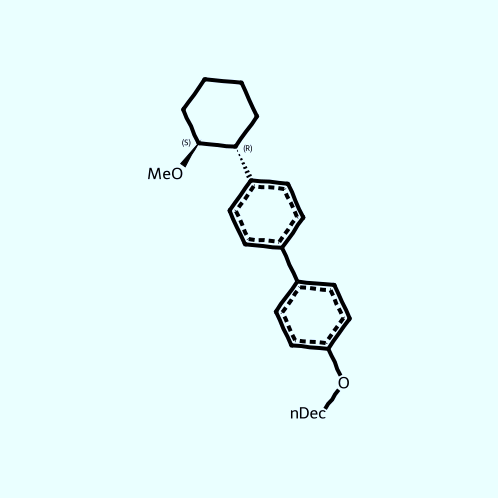 CCCCCCCCCCOc1ccc(-c2ccc([C@H]3CCCC[C@@H]3OC)cc2)cc1